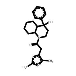 Cc1nc(C)c(CC(=O)N2CCC(O)(c3ccccc3)C3CCCCC32)s1